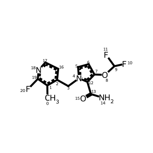 Cc1c(Cn2ccc(OC(F)F)c2C(N)=O)ccnc1F